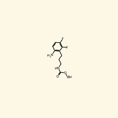 CC(C)(C)OC(=O)NCCCc1c(N)ccc(F)c1F